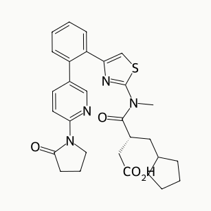 CN(C(=O)[C@@H](CC(=O)O)CC1CCCC1)c1nc(-c2ccccc2-c2ccc(N3CCCC3=O)nc2)cs1